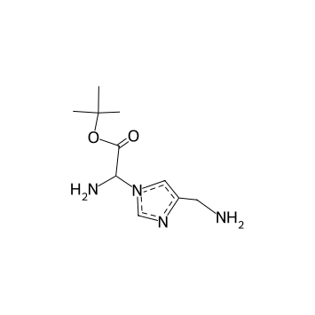 CC(C)(C)OC(=O)C(N)n1cnc(CN)c1